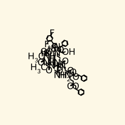 C[C@H](NC(=O)OC(C)(C)C)C(=O)N[C@@H](C)C(=O)N[C@@H](CC(N)=O)C(=O)N[C@@H](CCN(C(=O)CO)[C@@H](c1cc(-c2cc(F)ccc2F)cn1Cc1ccccc1)C(C)(C)C)C(=O)NCCC(=O)N[C@H](CCC(=O)OCc1ccccc1)C(=O)OCc1ccccc1